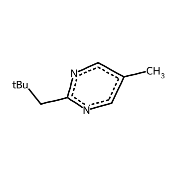 Cc1cnc(CC(C)(C)C)nc1